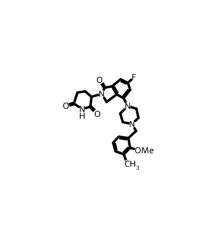 COc1c(C)cccc1CN1CCN(c2cc(F)cc3c2CN(C2CCC(=O)NC2=O)C3=O)CC1